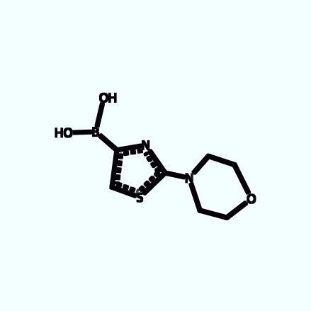 OB(O)c1csc(N2CCOCC2)n1